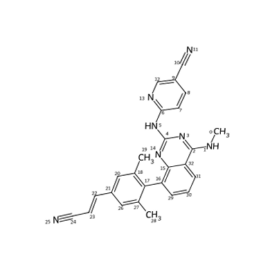 CNc1nc(Nc2ccc(C#N)cn2)nc2c(-c3c(C)cc(/C=C/C#N)cc3C)cccc12